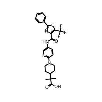 CC(C)(C(=O)O)C1CCN(c2ccc(NC(=O)c3nc(-c4ccccc4)oc3C(F)(F)F)cn2)CC1